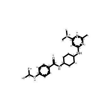 Cc1nc(NC2CCC(NC(=O)c3ccc(OC(F)F)cc3)CC2)cc(N(C)C)n1